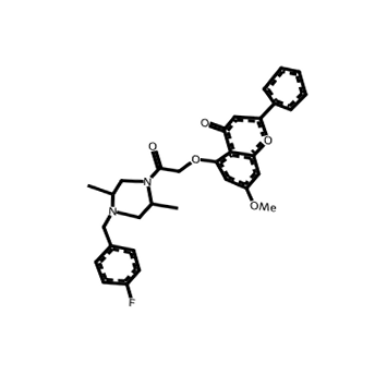 COc1cc(OCC(=O)N2CC(C)N(Cc3ccc(F)cc3)CC2C)c2c(=O)cc(-c3ccccc3)oc2c1